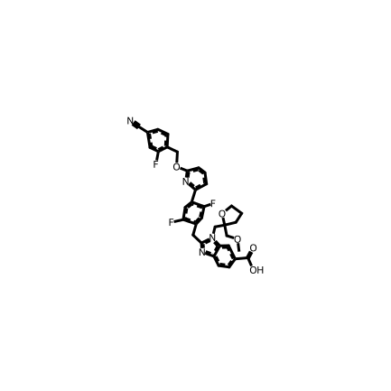 COCC1(Cn2c(Cc3cc(F)c(-c4cccc(OCc5ccc(C#N)cc5F)n4)cc3F)nc3ccc(C(=O)O)cc32)CCCO1